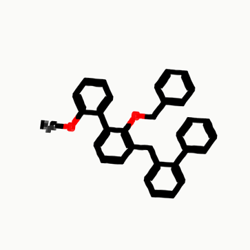 COc1ccccc1-c1cccc(Cc2ccccc2-c2ccccc2)c1OCc1ccccc1